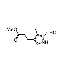 COC(=O)CCc1c[nH]c(C=O)c1C